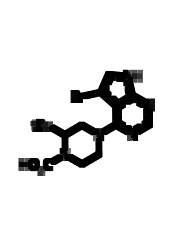 CC(C)(C)C1CN(c2ncnc3[nH]cc(Br)c23)CCN1C(=O)O